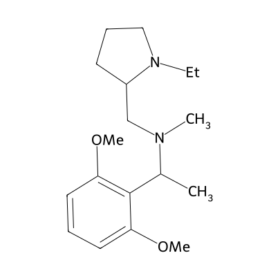 CCN1CCCC1CN(C)C(C)c1c(OC)cccc1OC